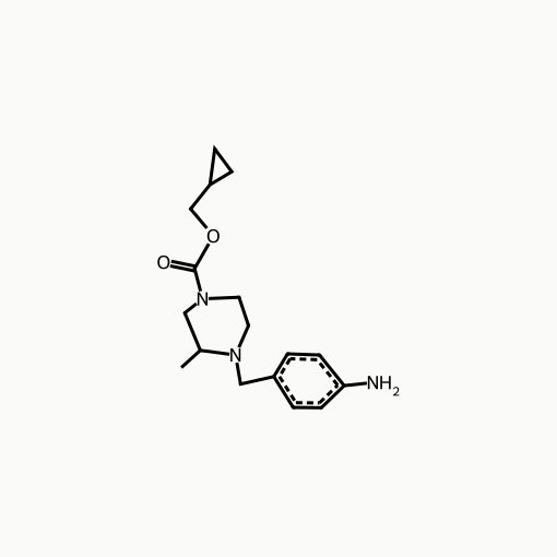 CC1CN(C(=O)OCC2CC2)CCN1Cc1ccc(N)cc1